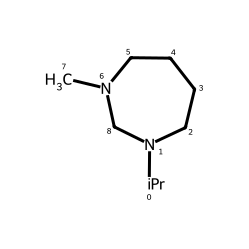 CC(C)N1CCCCN(C)C1